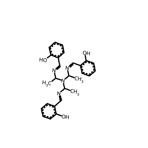 CC(N=Cc1ccccc1O)N(C(C)N=Cc1ccccc1O)C(C)N=Cc1ccccc1O